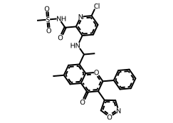 Cc1cc(C(C)Nc2ccc(Cl)nc2C(=O)NS(C)(=O)=O)c2oc(-c3ccccc3)c(-c3cnoc3)c(=O)c2c1